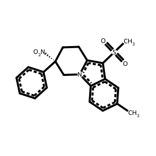 Cc1ccc2c(c1)c(S(C)(=O)=O)c1n2C[C@](c2ccccc2)([N+](=O)[O-])CC1